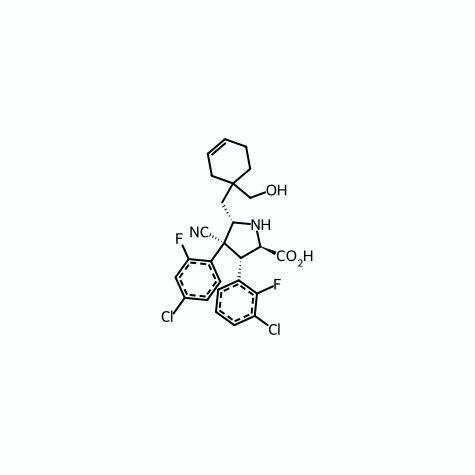 N#C[C@]1(c2ccc(Cl)cc2F)[C@H](CC2(CO)CC=CCC2)N[C@@H](C(=O)O)[C@@H]1c1cccc(Cl)c1F